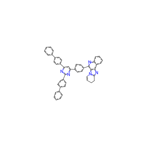 C1=Cn2c(nc3c4ccccc4nc(-c4ccc(-c5cc(-c6ccc(-c7ccccc7)cc6)nc(-c6ccc(-c7ccccc7)cc6)n5)cc4)c32)CC1